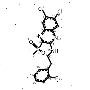 CS(=O)(=O)c1nc2cc(Cl)c(Cl)cc2nc1NCCc1ccccc1F